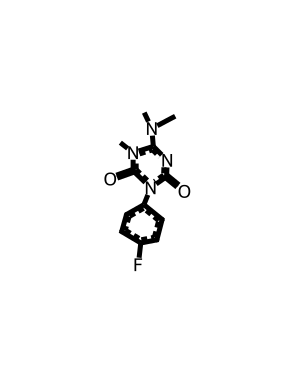 CN(C)c1nc(=O)n(-c2ccc(F)cc2)c(=O)n1C